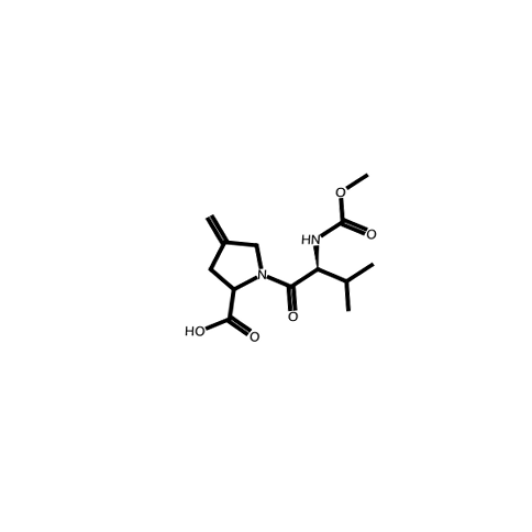 C=C1CC(C(=O)O)N(C(=O)[C@@H](NC(=O)OC)C(C)C)C1